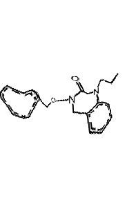 CCCN1C(=O)N(OCc2ccccc2)Cc2ccccc21